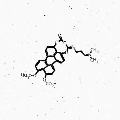 CN(C)CCCN=C1OC(=O)Oc2ccc3c4ccc(OC(=O)O)c5c(OC(=O)O)ccc(c6ccc(c2c36)O1)c54